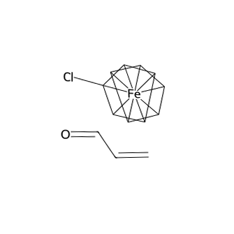 C=CC=O.Cl[C]12[CH]3[CH]4[CH]5[CH]1[Fe]45321678[CH]2[CH]1[CH]6[CH]7[CH]28